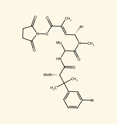 CN[C@H](C(=O)NC(C(=O)N(C)[C@H](/C=C(\C)C(=O)ON1C(=O)CCC1=O)C(C)C)C(C)(C)C)C(C)(C)c1cccc(Br)c1